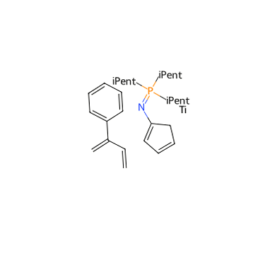 C=CC(=C)c1ccccc1.CCCC(C)P(=NC1=CC=CC1)(C(C)CCC)C(C)CCC.[Ti]